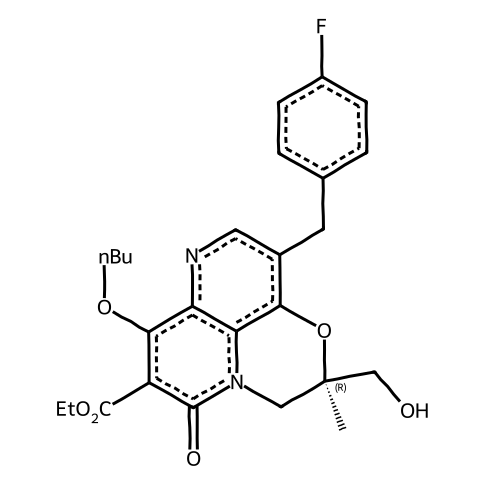 CCCCOc1c(C(=O)OCC)c(=O)n2c3c(c(Cc4ccc(F)cc4)cnc13)O[C@@](C)(CO)C2